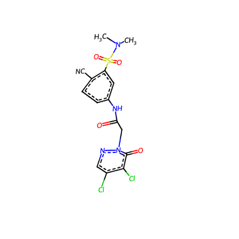 CN(C)S(=O)(=O)c1cc(NC(=O)Cn2ncc(Cl)c(Cl)c2=O)ccc1C#N